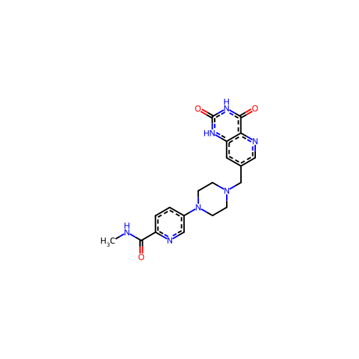 CNC(=O)c1ccc(N2CCN(Cc3cnc4c(=O)[nH]c(=O)[nH]c4c3)CC2)cn1